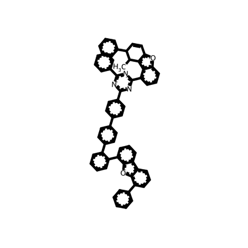 CC1c2c(oc3cccc(-c4nc(-c5ccccc5)nc(-c5ccc(-c6ccc(-c7ccccc7-c7cccc8c7oc7c(-c9ccccc9)cccc78)cc6)cc5)n4)c23)C=CC1c1ccccc1